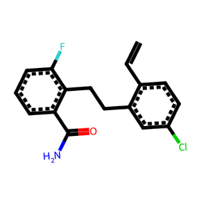 C=Cc1ccc(Cl)cc1CCc1c(F)cccc1C(N)=O